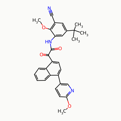 COc1ccc(-c2ccc(C(=O)C(=O)Nc3cc(C(C)(C)C)cc(C#N)c3OC)c3ccccc23)cn1